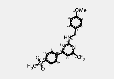 COc1ccc(CNc2nc(-c3ccc(S(C)(=O)=O)cc3)cc(C(F)(F)F)n2)cc1